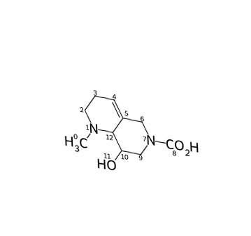 CN1CCC=C2CN(C(=O)O)CC(O)C21